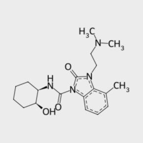 Cc1cccc2c1n(CCN(C)C)c(=O)n2C(=O)N[C@@H]1CCCC[C@@H]1O